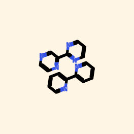 c1ccc(-c2ccccn2)nc1.c1cnc(-c2cnccn2)nc1